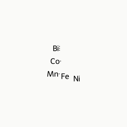 [Bi].[Co].[Fe].[Mn].[Ni]